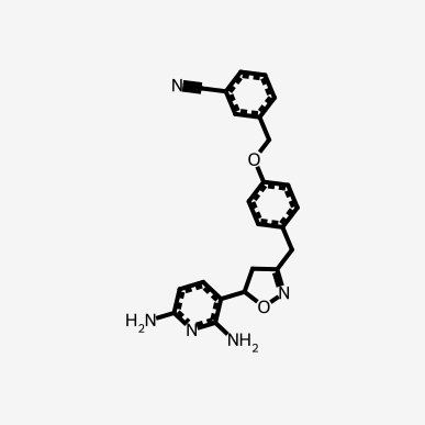 N#Cc1cccc(COc2ccc(CC3=NOC(c4ccc(N)nc4N)C3)cc2)c1